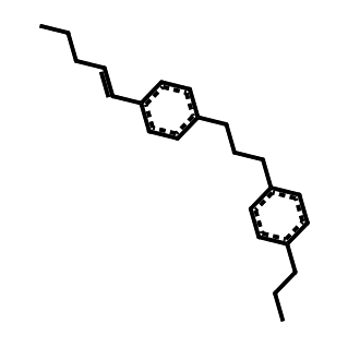 CCCC=Cc1ccc(CCCc2ccc(CCC)cc2)cc1